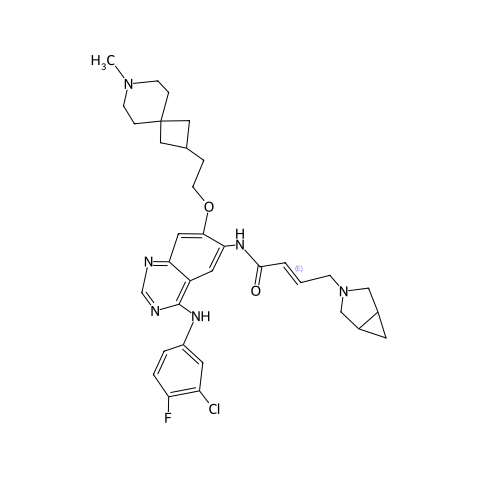 CN1CCC2(CC1)CC(CCOc1cc3ncnc(Nc4ccc(F)c(Cl)c4)c3cc1NC(=O)/C=C/CN1CC3CC3C1)C2